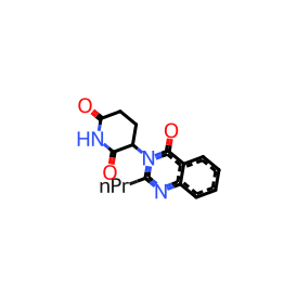 CCCc1nc2ccccc2c(=O)n1C1CCC(=O)NC1=O